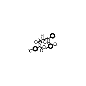 COc1ccc(COC(=O)C(c2ccc(OC)cc2)N2C[C@@](C)(NC(=O)CNc3ccccc3)C2=O)cc1